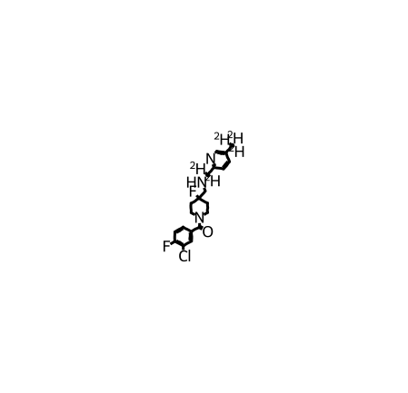 [2H]C([2H])([2H])c1ccc(C([2H])([2H])NCC2(F)CCN(C(=O)c3ccc(F)c(Cl)c3)CC2)nc1